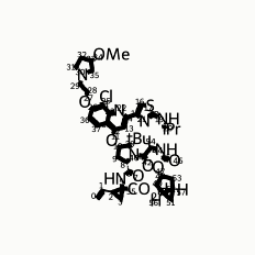 C=C[C@@H]1CC1(NC(=O)[C@@H]1C[C@@H](Oc2cc(-c3csc(NC(C)C)n3)nc3c(Cl)c(OCCN4CC[C@@H](OC)C4)ccc23)CN1C(=O)[C@@H](NC(=O)O[C@@H]1C[C@@H]2C[C@@H]2C1)C(C)(C)C)C(=O)O